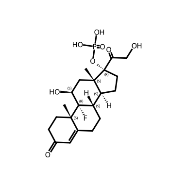 C[C@]12CCC(=O)C=C1CC[C@H]1[C@@H]3CC[C@](OP(=O)(O)O)(C(=O)CO)[C@@]3(C)C[C@H](O)[C@@]12F